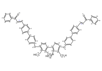 O=C(/C=C/c1ccc(-c2ccc(Oc3ccc(-c4ccc(Oc5ccc(-c6ccc(/C=C/C(=O)c7ccccc7)cc6)cc5)c(C(=O)O)c4C(=O)O)c(C(=O)O)c3C(=O)O)cc2)cc1)c1ccccc1